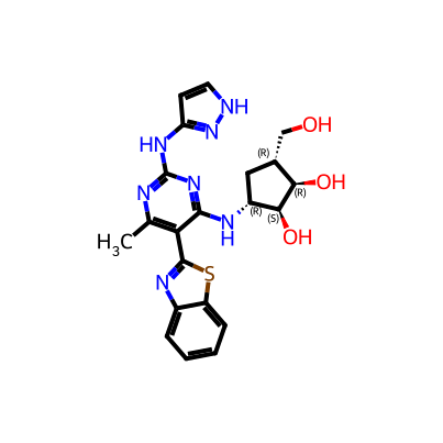 Cc1nc(Nc2cc[nH]n2)nc(N[C@@H]2C[C@H](CO)[C@@H](O)[C@H]2O)c1-c1nc2ccccc2s1